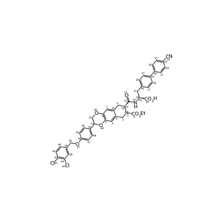 CCOC(=O)N1Cc2cc3c(cc2C[C@H]1C(=O)N[C@@H](Cc1ccc(-c2ccc(C#N)cc2)cc1)C(=O)O)OCC(c1ccc(OCc2ccc(Cl)c(Cl)c2)cc1)O3